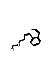 C/C=C\c1ccccc1/C=C\CCOCCl